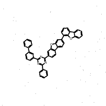 c1ccc(-c2cccc(-c3nc(-c4ccccc4)nc(-c4ccc5c(c4)oc4cc(-c6cccc7c6oc6ccccc67)ccc45)n3)c2)cc1